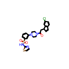 O=C(CC1C=Cc2ccc(Cl)cc21)N1CCN(c2cccc(S(=O)(=O)Nc3nccs3)c2)CC1